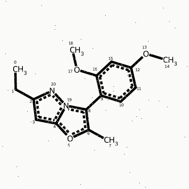 CCc1cc2oc(C)c(-c3ccc(OC)cc3OC)n2n1